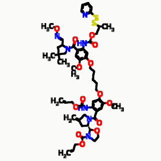 C=CCOC(=O)Nc1cc(OCCCCCOc2cc(NC(=O)OCC(C)SSc3ccccn3)c(C(=O)N3CC(C)(C)CC3/C=N/OC)cc2OC)c(OC)cc1C(=O)N1CC(=C)C[C@H]1C1OCCN1C(=O)OCC=C